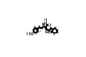 O=C1NN=C(CCc2ccc(O)cc2)C1=Cc1cc2c([nH]1)CCCC2